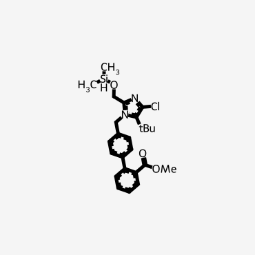 COC(=O)c1ccccc1-c1ccc(Cn2c(CO[SiH](C)C)nc(Cl)c2C(C)(C)C)cc1